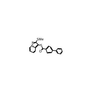 CSc1nn2ccccc2c1SC(=O)c1ccc(-c2ccccc2)cc1